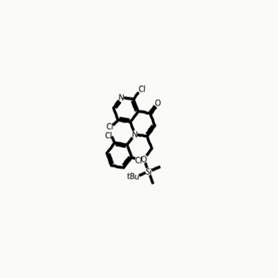 CC(C)(C)[Si](C)(C)OCc1cc(=O)c2c(Cl)ncc(Cl)c2n1-c1c(Cl)cccc1Cl